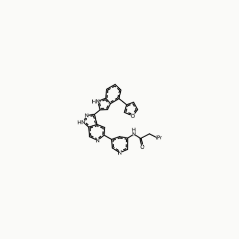 CC(C)CC(=O)Nc1cncc(-c2cc3c(-c4cc5c(-c6ccoc6)cccc5[nH]4)n[nH]c3cn2)c1